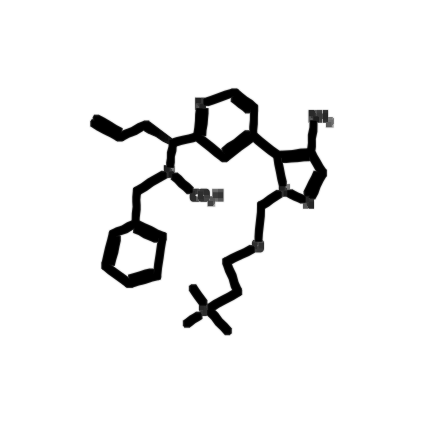 C=CC[C@@H](c1cc(-c2c(N)cnn2COCC[Si](C)(C)C)ccn1)N(Cc1ccccc1)C(=O)O